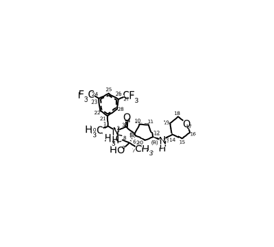 CC(NC(=O)[C@@]1(C(C)(C)O)CC[C@@H](NC2CCOCC2)C1)c1cc(C(F)(F)F)cc(C(F)(F)F)c1